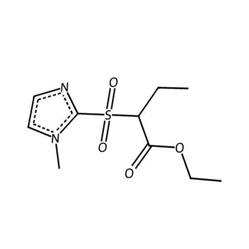 CCOC(=O)C(CC)S(=O)(=O)c1nccn1C